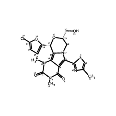 Cc1csc(-c2c3c(=O)n(C)c(=O)n(C)c3c3n2C[C@@H](CO)O[C@H]3c2ccc(Cl)o2)n1